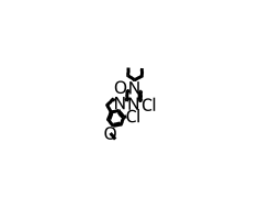 CCC(CC)n1cc(Cl)nc(N2CCc3cc(OC)cc(Cl)c32)c1=O